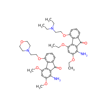 CCOc1cc(OCC)c2c(c1N)C(=O)c1cccc(OCCN(CC)CC)c1-2.COc1cc(OC)c2c(c1N)C(=O)c1cccc(OCCN3CCOCC3)c1-2